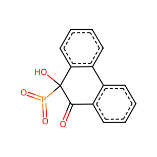 O=C1c2ccccc2-c2ccccc2C1(O)P(=O)=O